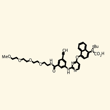 C#Cc1cc(Nc2nccc(Oc3ccc(N(C(=O)O)C(C)(C)C)c4ccccc34)n2)cc(C(=O)NCCOCCOCCOCCOC)c1